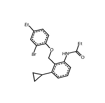 CCC(=O)Nc1cccc(C2CC2)c1COc1ccc(CC)cc1Br